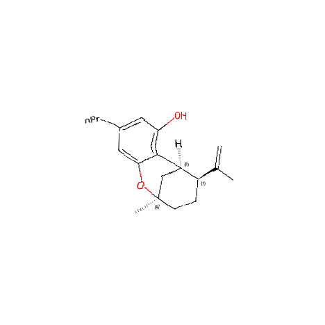 C=C(C)[C@H]1CC[C@]2(C)C[C@H]1c1c(O)cc(CCC)cc1O2